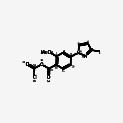 COc1cc(-n2ccc(C)n2)ccc1C(=O)OC(=O)Cl